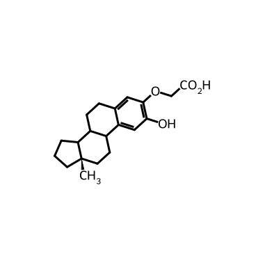 C[C@@]12CCCC1C1CCc3cc(OCC(=O)O)c(O)cc3C1CC2